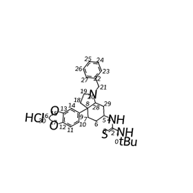 CC(C)(C)NC(=S)NC1CCC2(c3ccc4c(c3)OCO4)CCN(Cc3ccccc3)C2C1.Cl